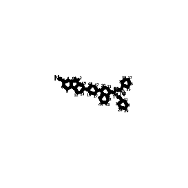 CC1(C)c2cc(C#N)ccc2-c2ccc(-c3ccc(-c4ccc(-c5nc(-c6ccccc6)nc(-c6ccccc6)n5)c5ccccc45)cc3)cc21